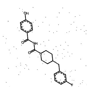 O=C(NC(=O)N1CCC(Cc2cccc(F)c2)CC1)c1ccc(O)cc1